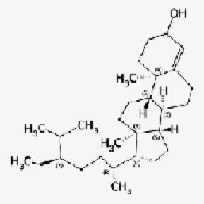 CC[C@H](CC[C@@H](C)[C@H]1CC[C@H]2[C@@H]3CCC4=CC(O)CC[C@]4(C)[C@H]3CC[C@]12C)C(C)C